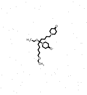 CCOCCCCCC(CCCCN1CCC(=O)CC1)(OCC)N1CCC(=O)CC1